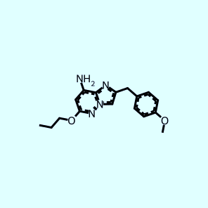 CCCOc1cc(N)c2nc(Cc3ccc(OC)cc3)cn2n1